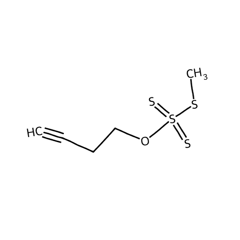 C#CCCOS(=S)(=S)SC